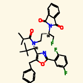 CC(C)C(=O)N(CC[C@@H](CF)N1C(=O)c2ccccc2C1=O)[C@H](c1nc(-c2cc(F)ccc2F)oc1Cc1ccccc1)C(C)(C)C